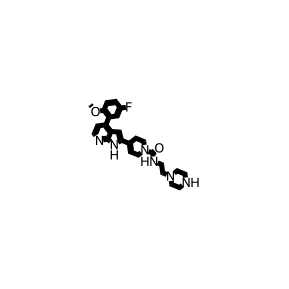 COc1ccc(F)cc1-c1ccnc2[nH]c(C3=CCN(C(=O)NCCN4CCNCC4)CC3)cc12